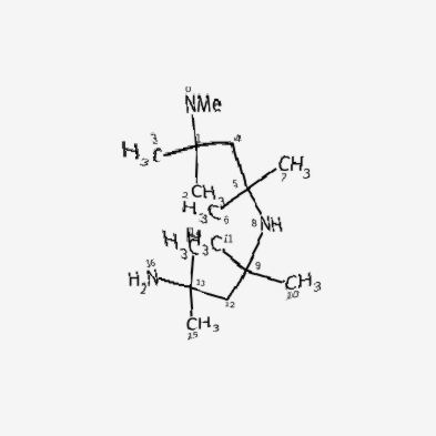 CNC(C)(C)CC(C)(C)NC(C)(C)CC(C)(C)N